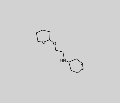 C1CCC(OCCNC2CCSSC2)OC1